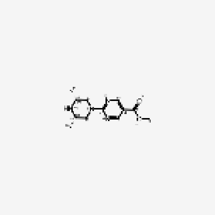 COC(=O)c1cnc(N2C[C@@H](C)N[C@@H](C)C2)nc1